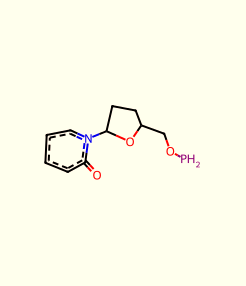 O=c1ccccn1C1CCC(COP)O1